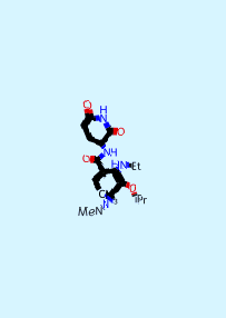 C/C=C(C(=O)NC1CCC(=O)NC1=O)\C(NCC)=C(/C#[N+]NC)OC(C)C